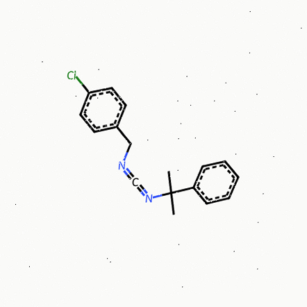 CC(C)(N=C=NCc1ccc(Cl)cc1)c1ccccc1